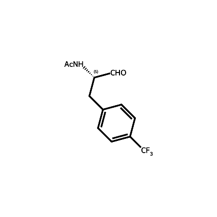 CC(=O)N[C@H](C=O)Cc1ccc(C(F)(F)F)cc1